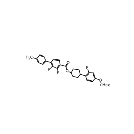 CCCCCCOc1ccc(C2CCC(OC(=O)c3ccc(-c4ccc(C)cc4)c(F)c3F)CC2)c(F)c1